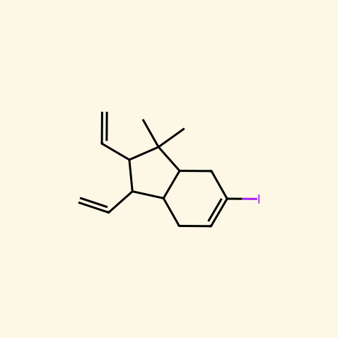 C=CC1C2CC=C(I)CC2C(C)(C)C1C=C